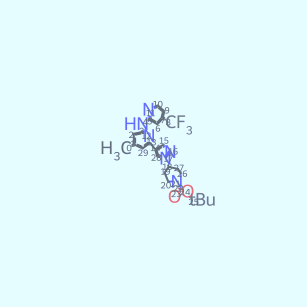 Cc1cc(Nc2cc(C(F)(F)F)ccn2)nc(-c2cnn(C3CCN(C(=O)OC(C)(C)C)CC3)c2)c1